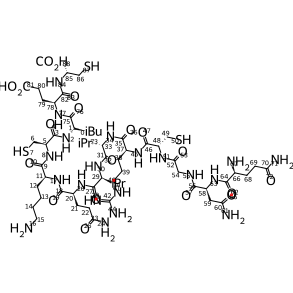 CC[C@H](C)[C@H](NC(=O)[C@H](CS)NC(=O)[C@H](CCCCN)NC(=O)[C@H](CCC(N)=O)NC(=O)[C@@H](NC(=O)[C@@H](NC(=O)[C@H](CCCNC(=N)N)NC(=O)[C@H](CS)NC(=O)CNC(=O)[C@H](CC(N)=O)NC(=O)[C@@H](N)CCC(N)=O)C(C)C)C(C)C)C(=O)N[C@@H](CCC(=O)O)C(=O)N[C@@H](CS)C(=O)O